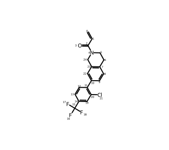 C=CC(=O)N1CCc2ccc(-c3ccc(C(F)(F)F)cc3Cl)cc2C1